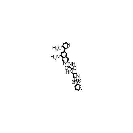 Cc1ccncc1-c1cc(N)c2cnc(NC(=O)C(=O)Nc3cnn(S(=O)(=O)c4cccnc4)c3)cc2c1